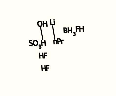 B.F.F.F.O=S(=O)(O)O.[Li][CH2]CC